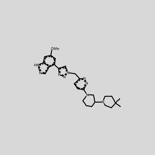 COc1cc(-c2cn(Cc3ccc(N4CCCC(N5CCC(C)(C)CC5)C4)nn3)nn2)c2cn[nH]c2c1